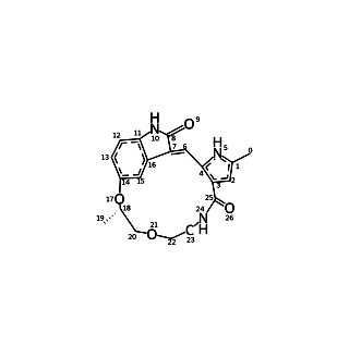 Cc1cc2c([nH]1)/C=C1\C(=O)Nc3ccc(cc31)O[C@@H](C)COCCNC2=O